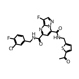 CC(=O)c1ccc(CNC(=O)c2cc(C(=O)NCc3ccc(F)c(Cl)c3)nc3c(F)cnn23)s1